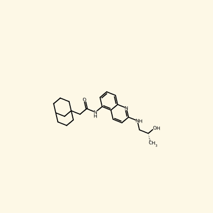 C[C@@H](O)CNc1ccc2c(NC(=O)CC34CCCC(CCC3)C4)cccc2n1